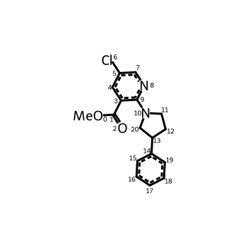 COC(=O)c1cc(Cl)cnc1N1CCC(c2ccccc2)C1